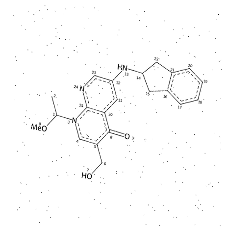 COC(C)n1cc(CO)c(=O)c2cc(NC3Cc4ccccc4C3)cnc21